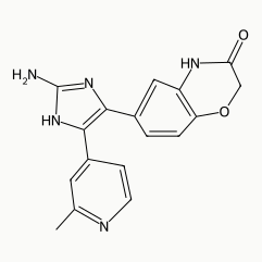 Cc1cc(-c2[nH]c(N)nc2-c2ccc3c(c2)NC(=O)CO3)ccn1